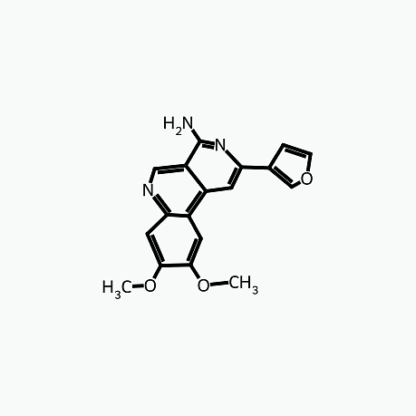 COc1cc2ncc3c(N)nc(-c4ccoc4)cc3c2cc1OC